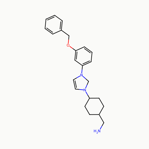 NCC1CCC(N2C=CN(c3cccc(OCc4ccccc4)c3)C2)CC1